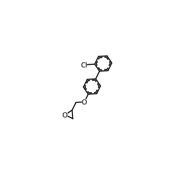 Clc1ccccc1-c1ccc(OCC2CO2)cc1